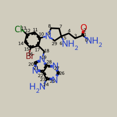 NC(=O)CCC1(N)CCN(c2cc(Cl)cc(Br)c2Cn2cnc3c(N)ncnc32)C1